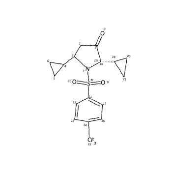 O=C1CC(C2CC2)N(S(=O)(=O)c2ccc(C(F)(F)F)cc2)[C@H]1C1CC1